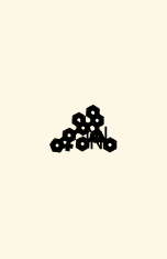 CC1(C)c2ccccc2-c2ccc(-c3ccc(-c4c(-c5nc(-c6ccccc6)nc(-c6ccccc6)n5)ccc5ccccc45)c4ccccc34)cc21